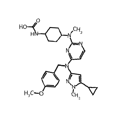 COc1ccc(CN(c2ccnc(N(C)C3CCC(NC(=O)O)CC3)n2)c2cc(C3CC3)n(C)n2)cc1